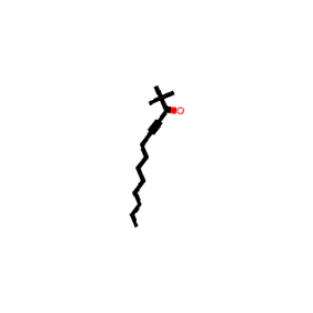 CCCCCCCCC#CC(=O)C(C)(C)C